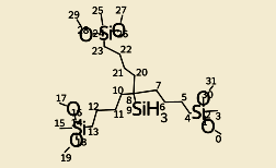 CO[Si](C)(CCCCC([SiH3])(CCCC[Si](C)(OC)OC)CCCC[Si](C)(OC)OC)OC